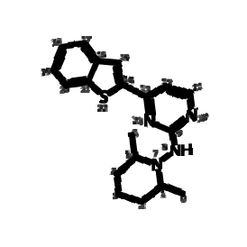 CC1CCCC(C)N1Nc1nccc(-c2cc3ccccc3s2)n1